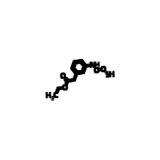 CCOC(=O)Cc1cccc(NOOS)c1